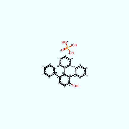 O=P(O)(O)O.Oc1ccc(-c2ccccc2)c(-c2ccccc2)c1-c1ccccc1